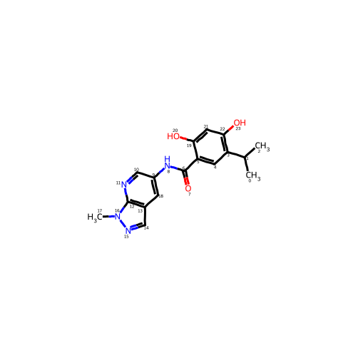 CC(C)c1cc(C(=O)Nc2cnc3c(cnn3C)c2)c(O)cc1O